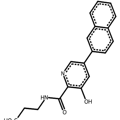 O=C(O)CCNC(=O)c1ncc(-c2ccc3ccccc3c2)cc1O